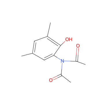 CC(=O)N(C(C)=O)c1cc(C)cc(C)c1O